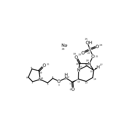 O=C(NOCCN1CCCC1=O)[C@@H]1CC[C@@H]2CN1C(=O)N2OS(=O)(=O)O.[Na]